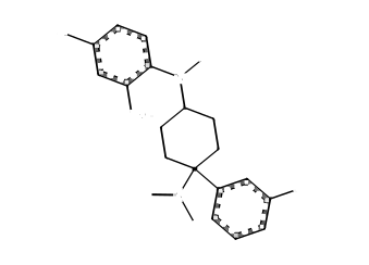 CCCN(C)C1(c2cccc(O)c2)CCC(N(CC)c2ccc(Cl)cc2OC)CC1